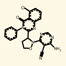 N#Cc1c(N)ncnc1N1OCCC1c1nc2cccc(Cl)c2c(=O)n1-c1ccccc1